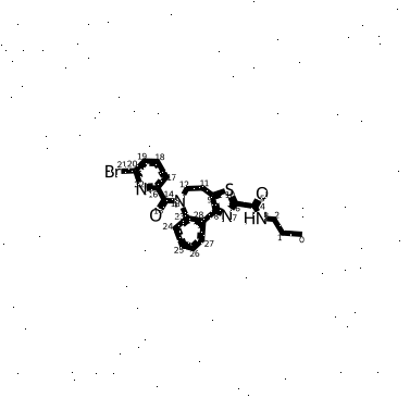 CCCNC(=O)c1nc2c(s1)CCN(C(=O)c1cccc(Br)n1)c1ccccc1-2